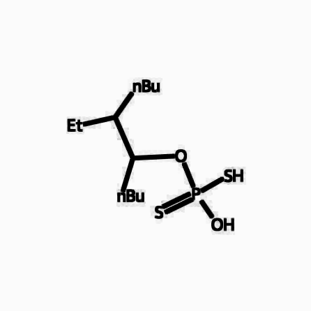 CCCCC(CC)C(CCCC)OP(O)(=S)S